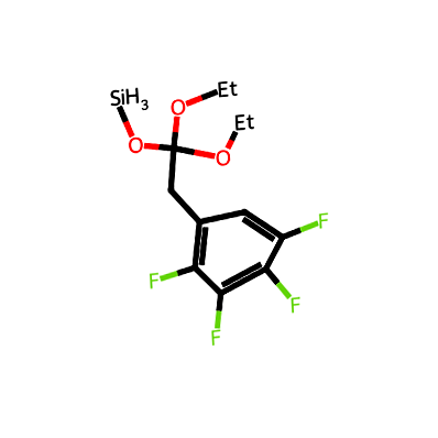 CCOC(Cc1cc(F)c(F)c(F)c1F)(O[SiH3])OCC